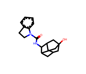 O=C(NC1C2CC3CC1CC(O)(C3)C2)N1CCc2ccccc21